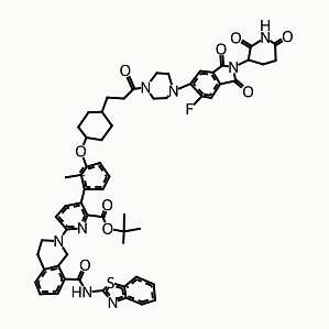 Cc1c(OC2CCC(CCC(=O)N3CCN(c4cc5c(cc4F)C(=O)N(C4CCC(=O)NC4=O)C5=O)CC3)CC2)cccc1-c1ccc(N2CCc3cccc(C(=O)Nc4nc5ccccc5s4)c3C2)nc1C(=O)OC(C)(C)C